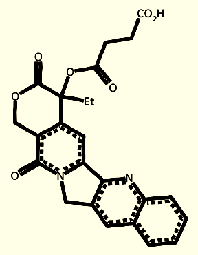 CCC1(OC(=O)CCC(=O)O)C(=O)OCc2c1cc1n(c2=O)Cc2cc3ccccc3nc2-1